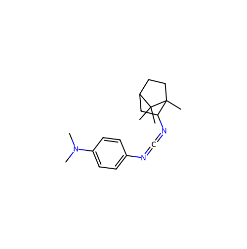 CN(C)c1ccc(N=C=NC2CC3CCC2(C)C3(C)C)cc1